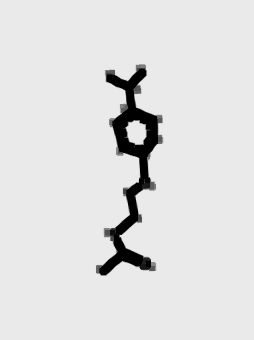 CC(=O)SCCOc1ccc(C(C)C)cc1